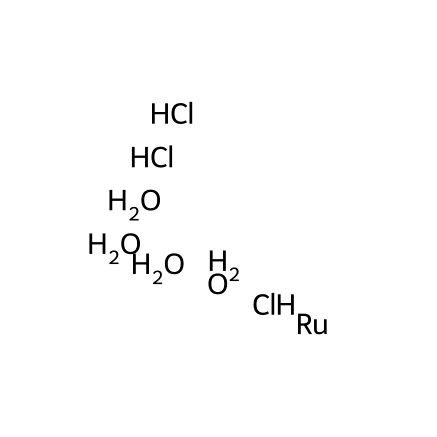 Cl.Cl.Cl.O.O.O.O.[Ru]